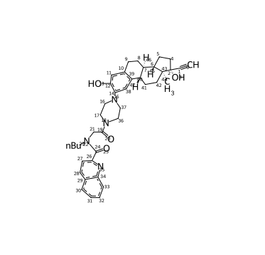 C#C[C@]1(O)CC[C@H]2[C@@H]3CCc4cc(O)c(N5CCN(C(=O)CN(CCCC)C(=O)c6ccc7ccccc7n6)CC5)cc4[C@H]3CC[C@@]21C